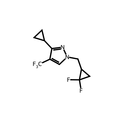 FC(F)(F)c1cn(CC2CC2(F)F)nc1C1CC1